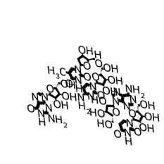 Cc1cn([C@H]2C[C@H](O)[C@@H](CO)O2)c(=O)[nH]c1=O.Nc1ccn([C@@H]2O[C@H](CO)[C@@H](O)[C@H]2O)c(=O)n1.Nc1nc2c(ncn2[C@@H]2O[C@H](CO)[C@@H](O)[C@H]2O)c(=O)[nH]1.Nc1ncnc2c1ncn2[C@@H]1O[C@H](CO)[C@@H](O)[C@H]1O.O=c1ccn([C@@H]2O[C@H](CO)[C@@H](O)[C@H]2O)c(=O)[nH]1